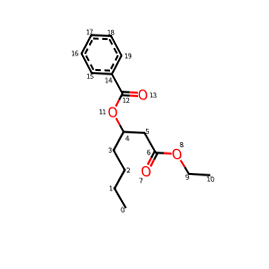 CCCCC(CC(=O)OCC)OC(=O)c1ccccc1